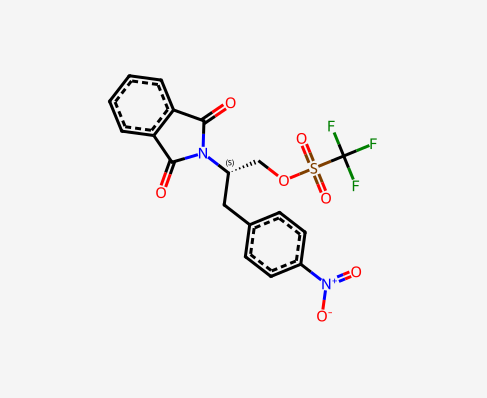 O=C1c2ccccc2C(=O)N1[C@H](COS(=O)(=O)C(F)(F)F)Cc1ccc([N+](=O)[O-])cc1